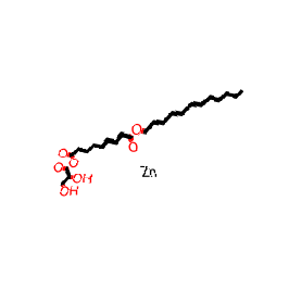 CCCCCCCCCCCCOC(=O)CCCCCCCC(=O)OC(=O)C(O)CO.[Zn]